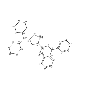 CN(CP(c1ccccc1)c1ccccc1)C1CC(P(C2CCCCC2)C2CCCCC2)CN1